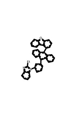 CCc1nc2ccccc2n1-c1cccc(-c2c3ccccc3c(-c3cccc4oc5ccccc5c34)c3ccccc23)c1